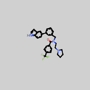 O=C(c1ccc(C(F)(F)F)cc1)N(CCN1CCCC1)Cc1cccc(-c2ccc3[nH]ccc3c2)c1